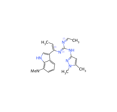 C\C=N/C(=N\C(=C\C)c1c[nH]c2c(NC)cccc12)Nc1cc(C)n(C)n1